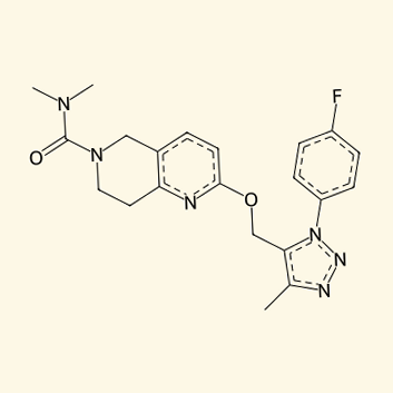 Cc1nnn(-c2ccc(F)cc2)c1COc1ccc2c(n1)CCN(C(=O)N(C)C)C2